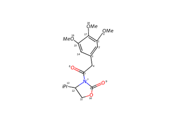 COc1cc(CC(=O)N2C(=O)OCC2C(C)C)cc(OC)c1OC